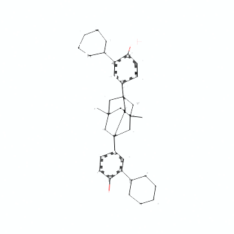 CC12CC3(C)CC(c4ccc(O)c(C5CCCCC5)c4)(C1)CC(c1ccc(O)c(C4CCCCC4)c1)(C2)C3